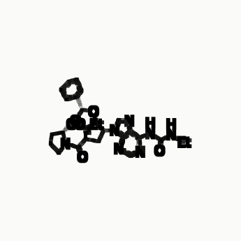 CCNC(=O)Nc1ncnc2c1ncn2C1CC(C(=O)N2CCC[C@@H]2C(=O)OCC)C2O[C@H](c3ccccc3)OC21